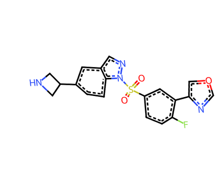 O=S(=O)(c1ccc(F)c(-c2cocn2)c1)n1ncc2cc(C3CNC3)ccc21